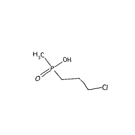 CP(=O)(O)CCCCl